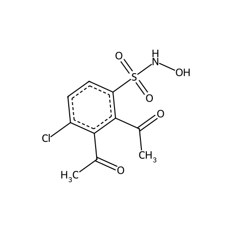 CC(=O)c1c(Cl)ccc(S(=O)(=O)NO)c1C(C)=O